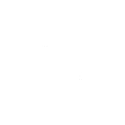 CC(C)COC(=O)CCCCCCCCCCCCC(CCC(=O)OCC(C)C)C(C)C